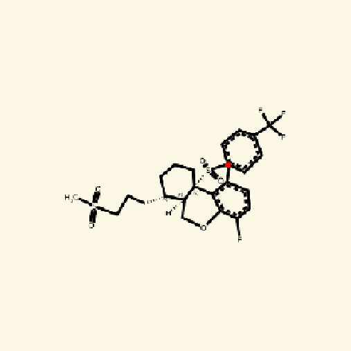 CS(=O)(=O)CCC[C@@H]1CCC[C@@]2(S(=O)(=O)c3ccc(C(F)(F)F)cc3)c3c(F)ccc(F)c3OC[C@@H]12